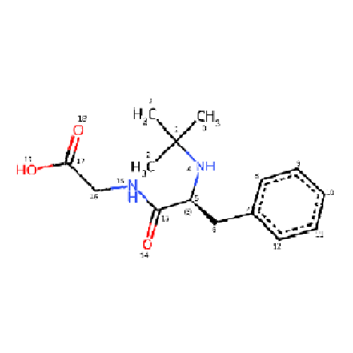 CC(C)(C)N[C@@H](Cc1ccccc1)C(=O)NCC(=O)O